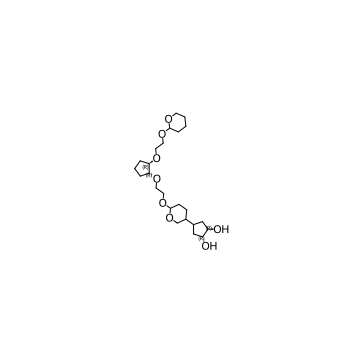 O[C@@H]1CC(C2CCC(OCCO[C@@H]3CCC[C@H]3OCCOC3CCCCO3)OC2)C[C@H]1O